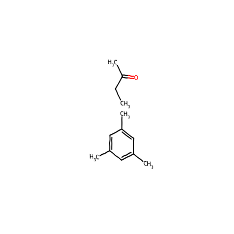 CCC(C)=O.Cc1cc(C)cc(C)c1